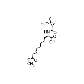 COC(=O)CSCCCCC=C(NC(=O)C1CC1(C)C)C(=O)O